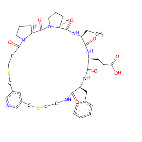 CC[C@@H]1NC(=O)[C@@H]2CCCN2C(=O)[C@@H]2CCCN2C(=O)CCSCc2cncc(c2)CSCCNC(=O)[C@H](Cc2ccccc2)NC(=O)[C@H](CCC(=O)O)NC1=O